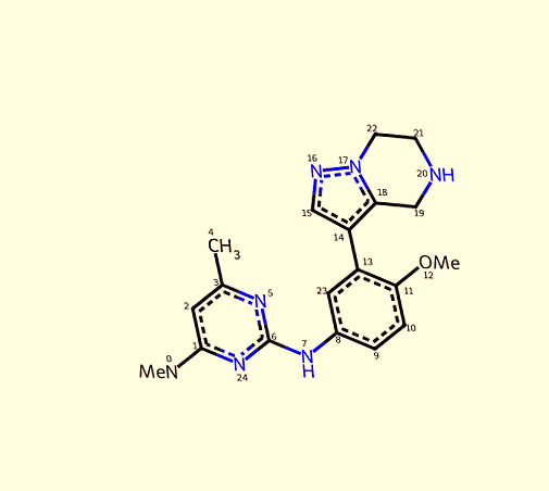 CNc1cc(C)nc(Nc2ccc(OC)c(-c3cnn4c3CNCC4)c2)n1